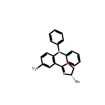 CC(C)(C)[C@H]1COC(c2cc([N+](=O)[O-])ccc2N(c2ccccc2)c2ccccc2)=N1